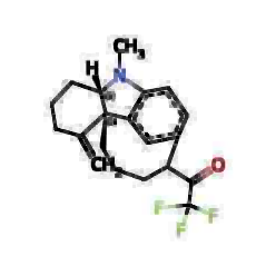 C=C1CCC[C@@H]2N(C)c3ccc4cc3[C@]12CCCC4C(=O)C(F)(F)F